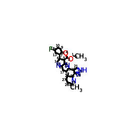 CCOC(=O)c1c(-c2cccc(F)c2)cnc2ccc(-c3c[nH]nc3-c3cccc(C)n3)nc12